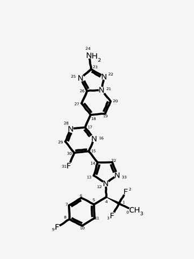 CC(F)(F)[C@@H](c1ccc(F)cc1)n1cc(-c2nc(-c3ccn4nc(N)nc4c3)ncc2F)cn1